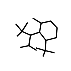 CC(C)[C](C1C(C)CCCC1C(C)(C)C)C(C)(C)C